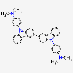 CN(C)c1ccc(-n2c3ccccc3c3cc(-c4ccc5c(c4)c4ccccc4n5-c4ccc(N(C)C)cc4)ccc32)cc1